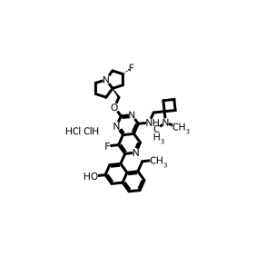 CCc1cccc2cc(O)cc(-c3ncc4c(NCC5(N(C)C)CCC5)nc(OC[C@@]56CCCN5C[C@H](F)C6)nc4c3F)c12.Cl.Cl